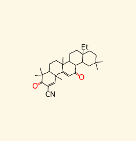 CCC12CCC3C(C(=O)C=C4C5(C)C=C(C#N)C(=O)C(C)(C)C5CCC43C)C1CC(C)(C)CC2